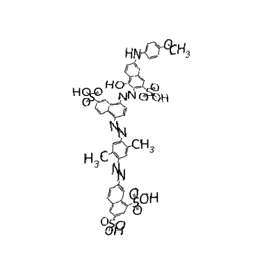 COc1ccc(Nc2ccc3c(O)c(N=Nc4ccc(N=Nc5cc(C)c(N=Nc6ccc7cc(S(=O)(=O)O)cc(S(=O)(=O)O)c7c6)cc5C)c5ccc(S(=O)(=O)O)cc45)c(S(=O)(=O)O)cc3c2)cc1